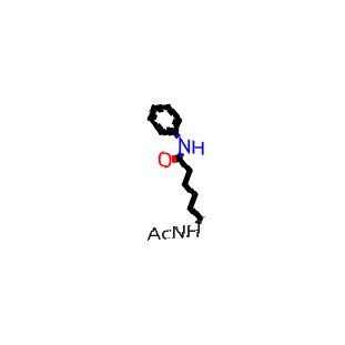 CC(=O)NCCCCCC(=O)Nc1ccccc1